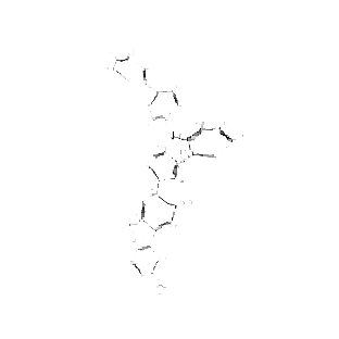 Brc1ccc2sc3cc(-c4ccc5c(c4)c4ccccc4n5-c4ccc(-c5ccccc5)cc4)ccc3c2c1